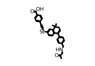 CC(=O)CNCc1ccc(C2=CCC(C)(C)c3cc([Se]C#Cc4ccc(C(=O)O)cc4)ccc32)cc1